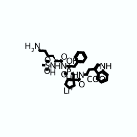 CS(=O)(=O)N[C@@H](CCCCN)C(=O)N[C@@](O)(Cc1ccccc1)[PH](=O)CC1(C(=O)N[C@@H](Cc2c[nH]c3ccccc23)C(=O)[O-])CCCC1.[Li+]